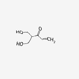 C=CC(=O)C(CO)CO